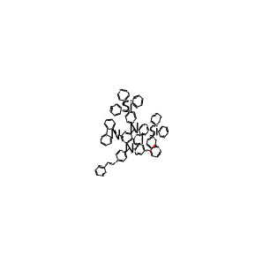 Clc1c(N(c2ccc(CCc3ccccc3)cc2)c2ccc(-c3ccccc3)cc2)cc(-n2c3ccccc3c3ccccc32)cc1N(c1ccc([Si](c2ccccc2)(c2ccccc2)c2ccccc2)cc1)c1ccc([Si](c2ccccc2)(c2ccccc2)c2ccccc2)cc1